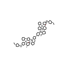 C=Cc1ccc(Oc2ccc(C3(c4cc(C)ccc4C)c4ccccc4-c4ccc(N(c5ccc(-c6ccc(N(c7ccc8c(c7)C(c7ccc(Oc9ccc(C=C)cc9)cc7)(c7cc(C)ccc7C)c7ccccc7-8)c7c(F)cccc7F)cc6)cc5)c5c(F)cccc5F)cc43)cc2)cc1